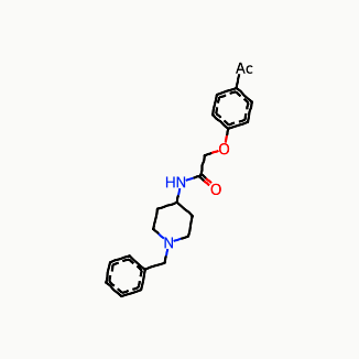 CC(=O)c1ccc(OCC(=O)NC2CCN(Cc3ccccc3)CC2)cc1